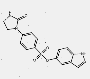 O=C1NCCN1c1ccc(S(=O)(=O)Oc2ccc3[nH]ccc3c2)cc1